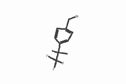 CC(C)(c1ccc(CBr)cc1)C(F)(F)F